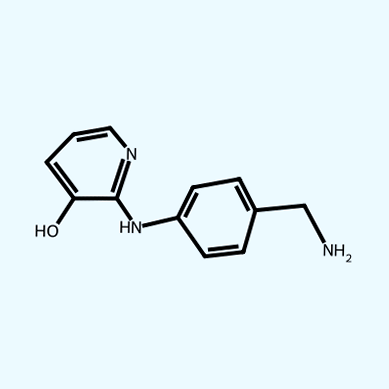 NCc1ccc(Nc2ncccc2O)cc1